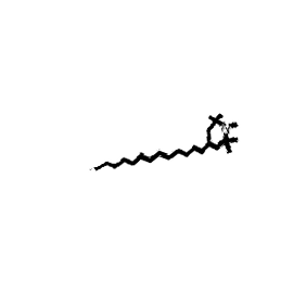 [CH2]CCCCCCCCCCCCC1CC(C)(C)N(C)C(C)(C)C1